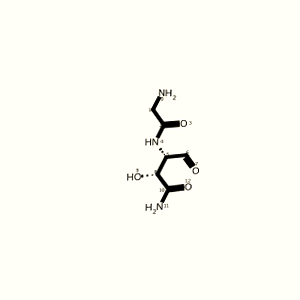 NCC(=O)N[C@H]([C]=O)[C@@H](O)C(N)=O